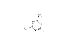 [CH2]c1cc(C(F)(F)F)nc(C(F)(F)F)c1